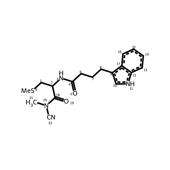 CSCC(NC(=O)CCCc1c[nH]c2ccccc12)C(=O)N(C)C#N